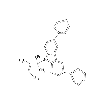 C/C=C(/C)C(C)(CCC)n1c2ccc(-c3ccccc3)cc2c2cc(-c3ccccc3)ccc21